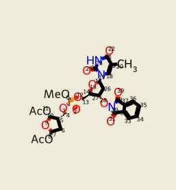 COP(=O)(OC[C@@H]1CC(OC(C)=O)OC1OC(C)=O)OC[C@H]1O[C@@H](n2cc(C)c(=O)[nH]c2=O)C[C@H]1ON1C(=O)c2ccccc2C1=O